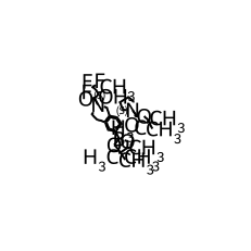 CC(C)(C)OC(=O)N1CCC[C@H]1c1cc(B2OC(C)(C)C(C)(C)O2)cc2c1CN(C(=O)[C@](C)(O)C(F)(F)F)CC2